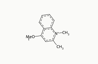 COc1cc(C)[n+](C)c2ccccc12.[I-]